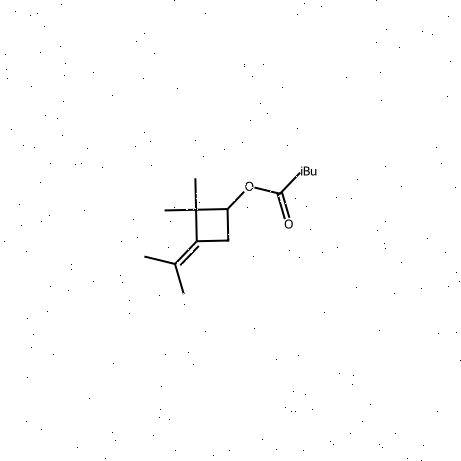 CCC(C)C(=O)OC1CC(=C(C)C)C1(C)C